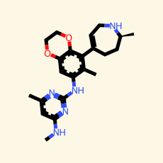 CNc1cc(C)nc(Nc2cc3c(c(C4=CCN[C@@H](C)CC4)c2C)OCCO3)n1